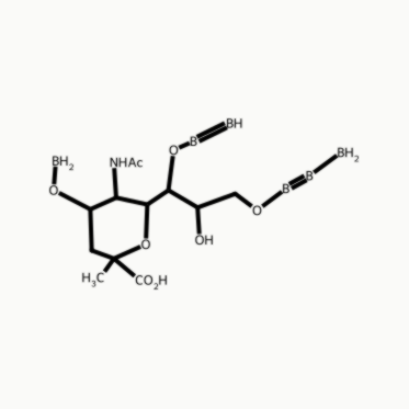 B=BOC(C(O)COB=BB)C1OC(C)(C(=O)O)CC(OB)C1NC(C)=O